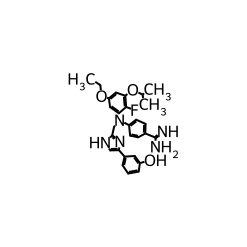 CCOc1cc(OC(C)C)c(F)c(N(Cc2nc(-c3cccc(O)c3)c[nH]2)c2ccc(C(=N)N)cc2)c1